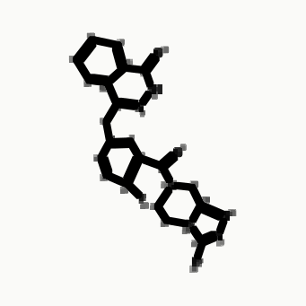 O=C(c1cc(Cc2n[nH]c(=O)c3ccccc23)ccc1F)N1CCn2c(Br)nnc2C1